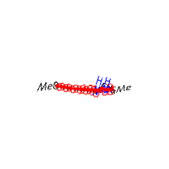 COCCOCCOCCOCCOCCOCCOCCOCCOCCOCCOCCOCCNC(=O)c1ccc(/C(C)=N/NC(=O)CCN2C(=O)CC(SC)C2=O)cc1